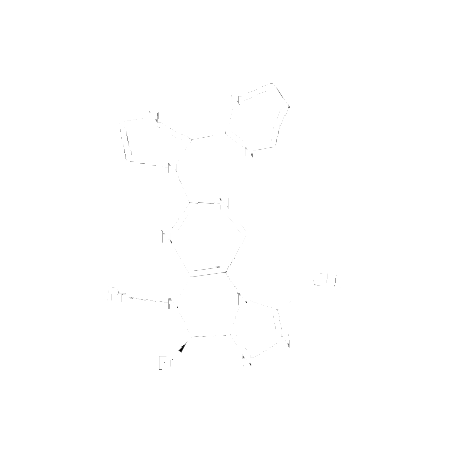 CC[C@@H]1c2nnc(C)n2-c2cnc(-n3ccnc3-c3ncccn3)nc2N1C(C)C